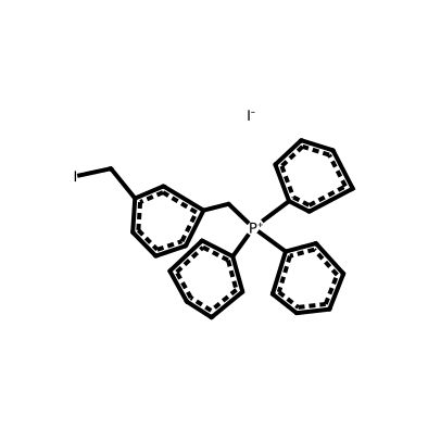 ICc1cccc(C[P+](c2ccccc2)(c2ccccc2)c2ccccc2)c1.[I-]